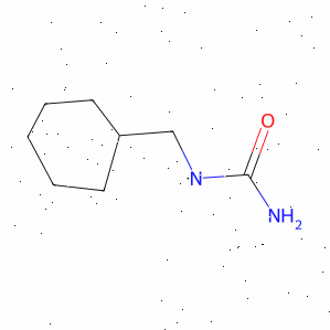 NC(=O)[N]CC1CCCCC1